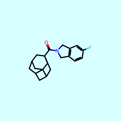 O=C(N1Cc2ccc(F)cc2C1)C12CC3CC4CC(C1)C4(C3)C2